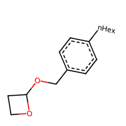 CCCCCCc1ccc(COC2CCO2)cc1